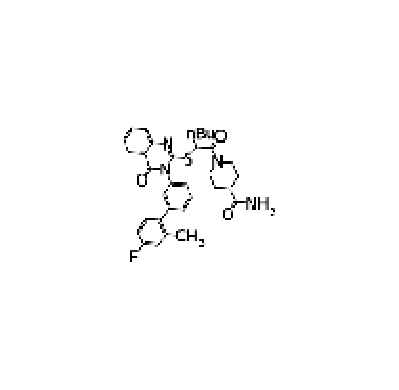 CCCCC(Sc1nc2ccccc2c(=O)n1-c1cccc(-c2ccc(F)cc2C)c1)C(=O)N1CCC(C(N)=O)CC1